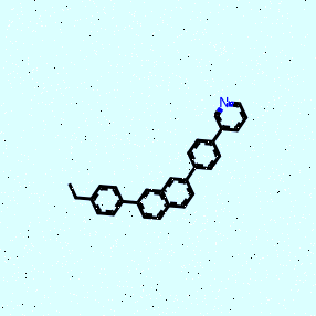 CCc1ccc(-c2ccc3ccc(-c4ccc(-c5cccnc5)cc4)cc3c2)cc1